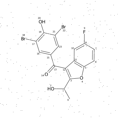 CC(O)c1oc2ccc(F)cc2c1C(=O)c1cc(Br)c(O)c(Br)c1